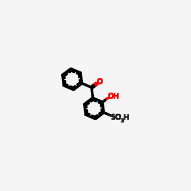 O=C(c1ccccc1)c1cccc(S(=O)(=O)O)c1O